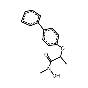 CC(Oc1ccc(-c2ccccc2)cc1)C(=O)N(C)O